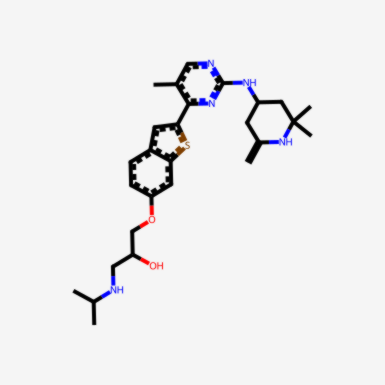 C=C1CC(Nc2ncc(C)c(-c3cc4ccc(OCC(O)CNC(C)C)cc4s3)n2)CC(C)(C)N1